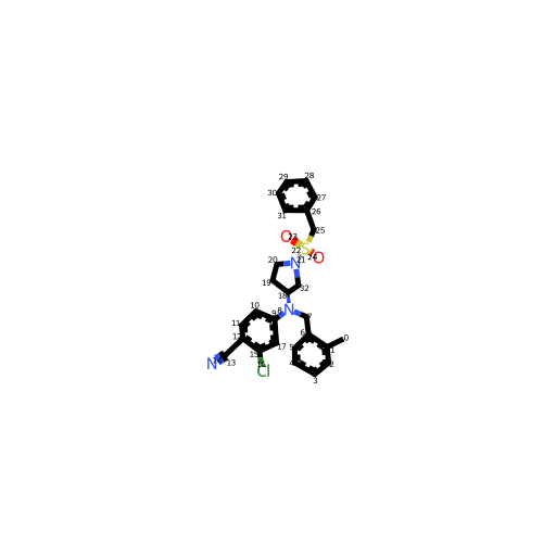 Cc1ccccc1CN(c1ccc(C#N)c(Cl)c1)[C@H]1CCN(S(=O)(=O)Cc2ccccc2)C1